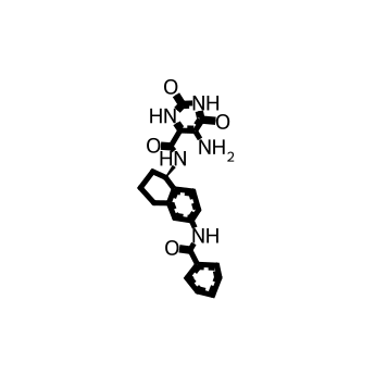 Nc1c(C(=O)N[C@@H]2CCCc3cc(NC(=O)c4ccccc4)ccc32)[nH]c(=O)[nH]c1=O